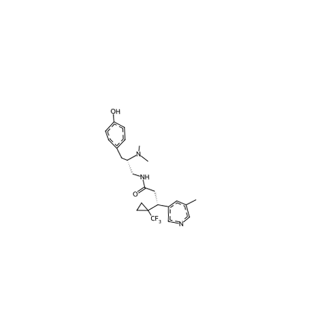 Cc1cncc([C@@H](CC(=O)NC[C@H](Cc2ccc(O)cc2)N(C)C)C2(C(F)(F)F)CC2)c1